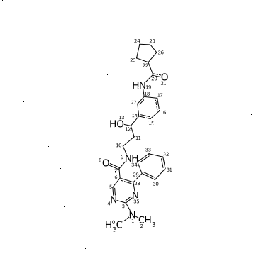 CN(C)c1ncc(C(=O)NCCC(O)c2cccc(NC(=O)C3CCCC3)c2)c(-c2ccccc2)n1